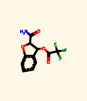 NC(=O)C1Oc2ccccc2C1OC(=O)C(F)(F)F